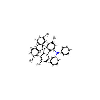 CC(C)(C)C1=CC2C(C=C1)c1c(N(c3ccccc3)c3ccccc3)cc(C(C)(C)C)cc1C21c2cc(C(C)(C)C)ccc2-c2ccc(C(C)(C)C)cc21